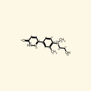 Cc1cc(-c2ccc(=O)[nH]n2)ccc1N(C)CCO